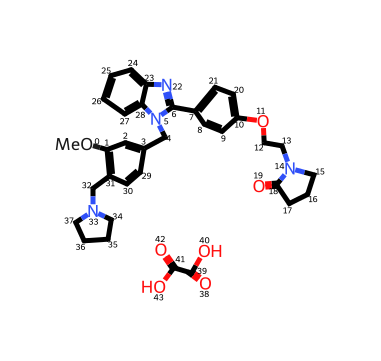 COc1cc(Cn2c(-c3ccc(OCCN4CCCC4=O)cc3)nc3ccccc32)ccc1CN1CCCC1.O=C(O)C(=O)O